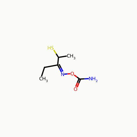 CCC(=NOC(N)=O)C(C)S